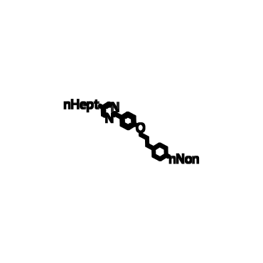 CCCCCCCCCC1CCC(CCCOc2ccc(-c3ncc(CCCCCCC)cn3)cc2)CC1